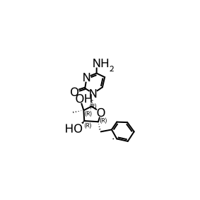 C[C@@]1(O)[C@H](O)[C@@H](Cc2[c]cccc2)O[C@H]1n1ccc(N)nc1=O